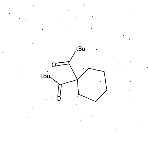 CC(C)(C)C(=O)C1(C(=O)C(C)(C)C)CCCCC1